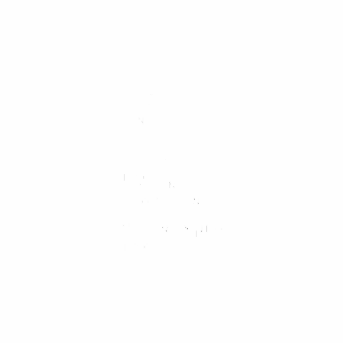 C[C@H](CN(CC(=O)O)CC(Cc1ccc(N=C=S)cc1)N(CC(=O)O)CC(=O)O)N(CC(=O)O)CC(=O)O